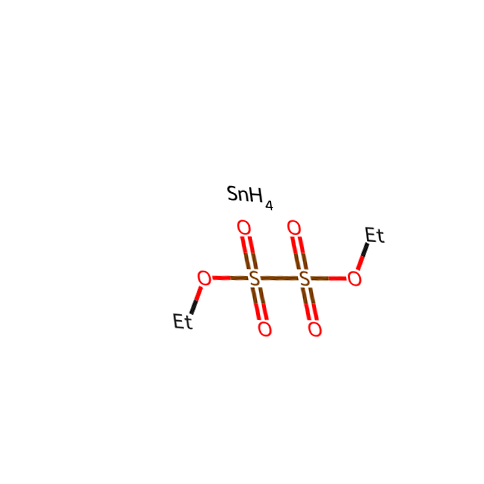 CCOS(=O)(=O)S(=O)(=O)OCC.[SnH4]